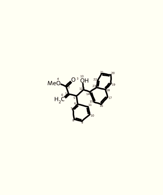 C=C(C(=O)OC)C(c1ccccc1)C(O)c1cccc2ccccc12